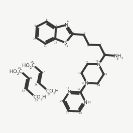 NC(CCCc1nc2ccccc2s1)N1CCN(c2ncccn2)CC1.O=C(O)C=CC(=O)O.O=C(O)C=CC(=O)O